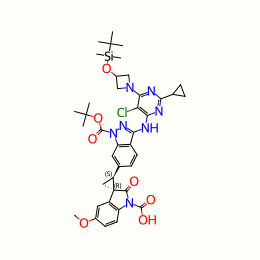 COc1ccc2c(c1)[C@]1(C[C@H]1c1ccc3c(Nc4nc(C5CC5)nc(N5CC(O[Si](C)(C)C(C)(C)C)C5)c4Cl)nn(C(=O)OC(C)(C)C)c3c1)C(=O)N2C(=O)O